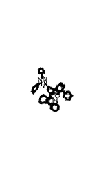 C1=CCCC(c2cccc3c2oc2c(-c4nc5c(c6c4C=CCC6)CCC=C5)cc(-c4nc(-c5ccccc5)nc(-c5ccccc5)n4)cc23)=C1